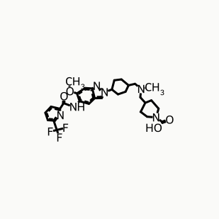 COc1cc2nn(C3CCC(CN(C)CC4CCN(C(=O)O)CC4)CC3)cc2cc1NC(=O)c1cccc(C(F)(F)F)n1